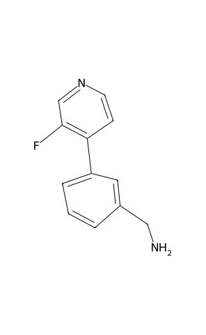 NCc1cccc(-c2ccncc2F)c1